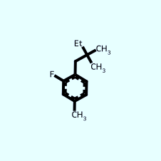 CCC(C)(C)Cc1ccc(C)cc1F